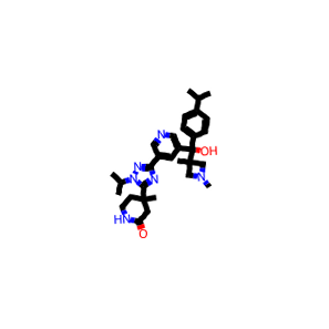 CC(C)c1ccc(C(O)(c2cncc(-c3nc(C4(C)CCNC(=O)C4)n(C(C)C)n3)c2)C2(C)CN(C)C2)cc1